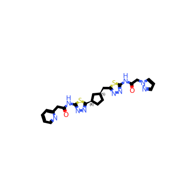 O=C(Cn1cccn1)Nc1nnc(C[C@H]2CC[C@@H](c3nnc(NC(=O)Cc4ccccn4)s3)C2)s1